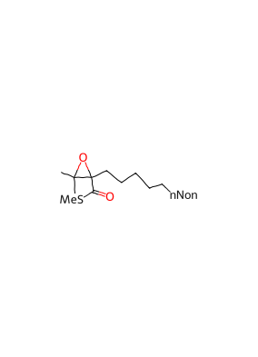 CCCCCCCCCCCCCCC1(C(=O)SC)OC1(C)C